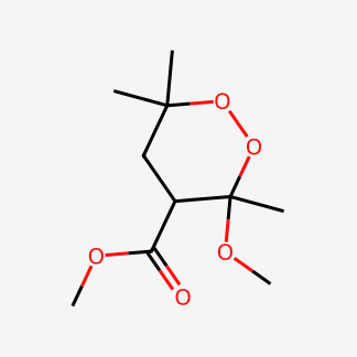 COC(=O)C1CC(C)(C)OOC1(C)OC